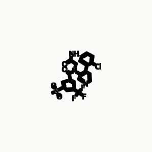 CS(=O)(=O)c1cc(C(=O)N(CC(N)=O)c2cnccc2-c2ccccc2Cl)cc(C(F)(F)F)c1